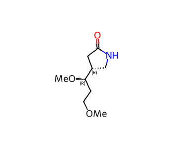 COCC[C@@H](OC)[C@H]1CNC(=O)C1